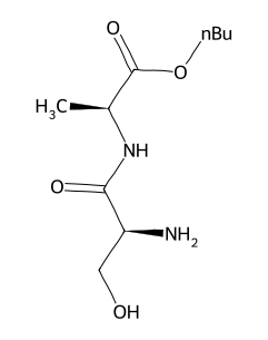 CCCCOC(=O)[C@H](C)NC(=O)[C@@H](N)CO